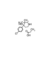 CC1(C)CNCCC1(O)c1ccc(Cl)cc1.CCC(=O)O